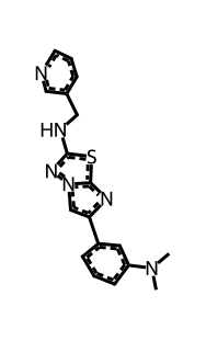 CN(C)c1cccc(-c2cn3nc(NCc4cccnc4)sc3n2)c1